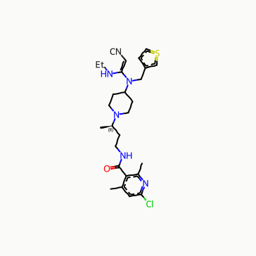 [C-]#[N+]C=C(NCC)N(Cc1ccsc1)C1CCN([C@H](C)CCNC(=O)c2c(C)cc(Cl)nc2C)CC1